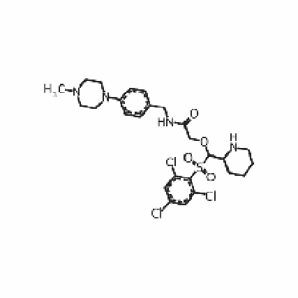 CN1CCN(c2ccc(CNC(=O)COC(C3CCCCN3)S(=O)(=O)c3c(Cl)cc(Cl)cc3Cl)cc2)CC1